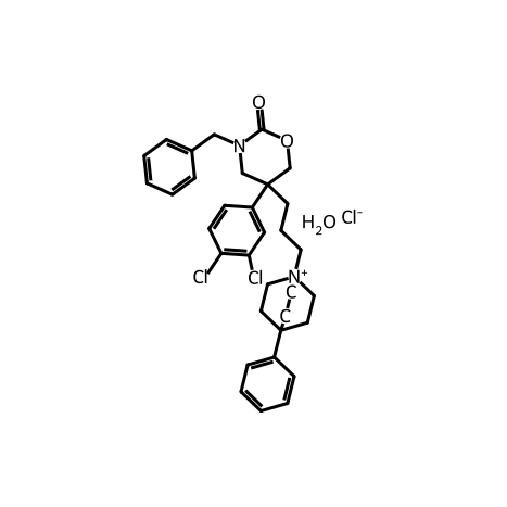 O.O=C1OCC(CCC[N+]23CCC(c4ccccc4)(CC2)CC3)(c2ccc(Cl)c(Cl)c2)CN1Cc1ccccc1.[Cl-]